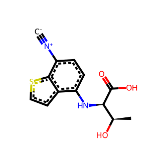 [C-]#[N+]c1ccc(N[C@@H](C(=O)O)[C@@H](C)O)c2ccsc12